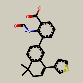 CC1(C)CC=C(c2ccsc2)c2cc(-c3cccc(C(=O)O)c3NC=O)ccc21